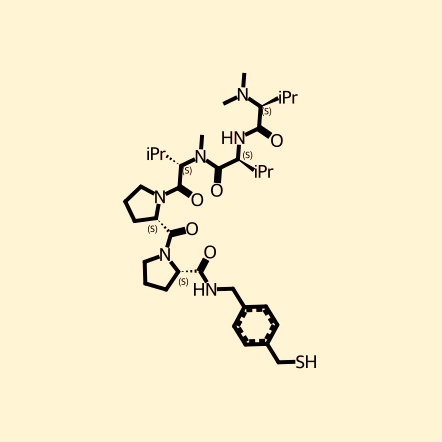 CC(C)[C@H](NC(=O)[C@H](C(C)C)N(C)C)C(=O)N(C)[C@H](C(=O)N1CCC[C@H]1C(=O)N1CCC[C@H]1C(=O)NCc1ccc(CS)cc1)C(C)C